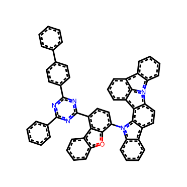 c1ccc(-c2ccc(-c3nc(-c4ccccc4)nc(-c4ccc(-n5c6ccccc6c6ccc7c(c8cccc9c%10ccccc%10n7c98)c65)c5oc6ccccc6c45)n3)cc2)cc1